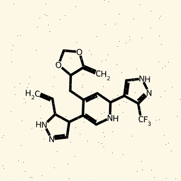 C=CC1NN=CC1C1=CNC(c2c[nH]nc2C(F)(F)F)C=C1CC1OCOC1=C